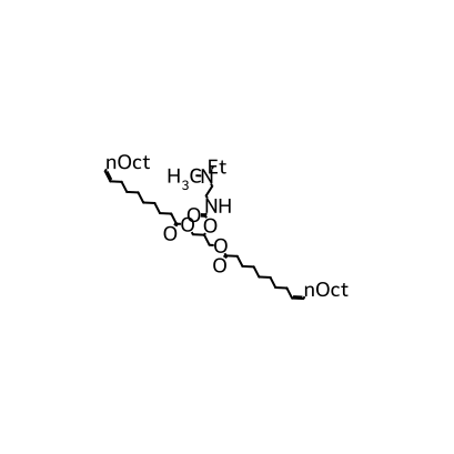 CCCCCCCC/C=C\CCCCCCCC(=O)OCC(COC(=O)CCCCCCC/C=C\CCCCCCCC)OC(=O)NCCN(C)CC